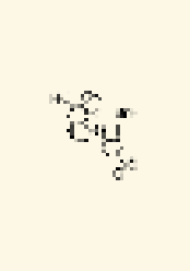 Br.O=[N+]([O-])c1ccc(Oc2ccnc3cc(O)c4c(c23)OCCO4)c(F)c1